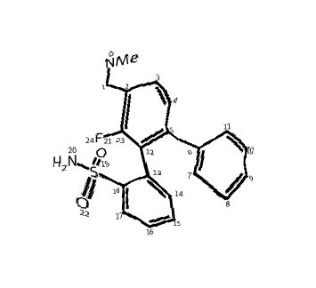 CNCc1ccc(-c2ccccc2)c(-c2ccccc2S(N)(=O)=O)c1F